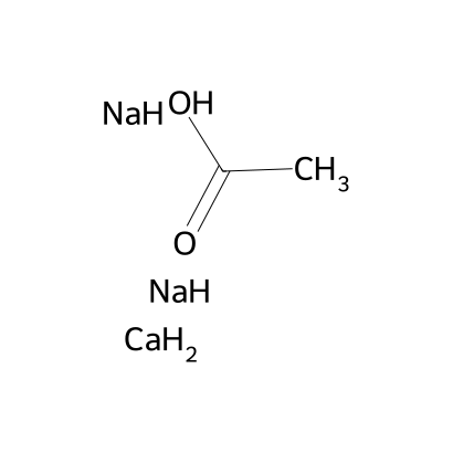 CC(=O)O.[CaH2].[NaH].[NaH]